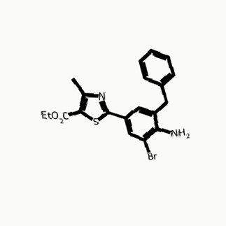 CCOC(=O)c1sc(-c2cc(Br)c(N)c(Cc3ccccc3)c2)nc1C